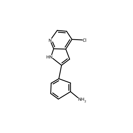 Nc1cccc(-c2cc3c(Cl)ccnc3[nH]2)c1